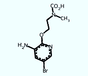 CN(CCOc1ncc(Br)cc1N)C(=O)O